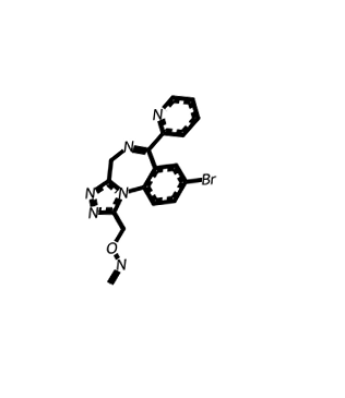 C=NOCc1nnc2n1-c1ccc(Br)cc1C(c1ccccn1)=NC2